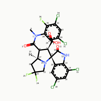 CN(C(=O)C1[C@@H](C(=O)O)[C@]2(C(=O)Nc3c(Cl)cc(Cl)cc32)N2CC(F)(F)C[C@@H]12)c1cc(Cl)cc(Cl)c1F